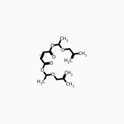 C=C(C)COC(C)OC(=O)/C=C\C(=O)OC(C)OCC(=C)C